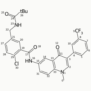 Cn1cc(-c2cccc(C(F)(F)F)c2)c(=O)c2cc(NC(=O)c3cc(CNC(=O)C(C)(C)C)ccc3Cl)ccc21